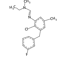 CCN(C)C=Nc1cc(C)cc(Cc2cccc(F)c2)c1Cl